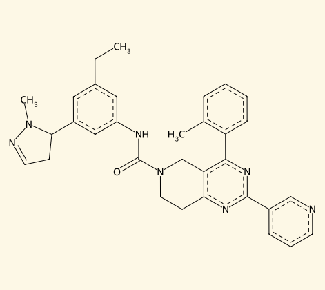 CCc1cc(NC(=O)N2CCc3nc(-c4cccnc4)nc(-c4ccccc4C)c3C2)cc(C2CC=NN2C)c1